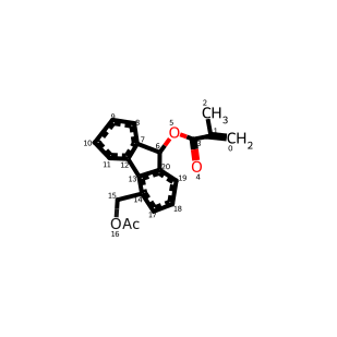 C=C(C)C(=O)OC1c2ccccc2-c2c(COC(C)=O)cccc21